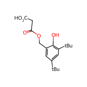 CC(C)(C)c1cc(COC(=O)CC(=O)O)c(O)c(C(C)(C)C)c1